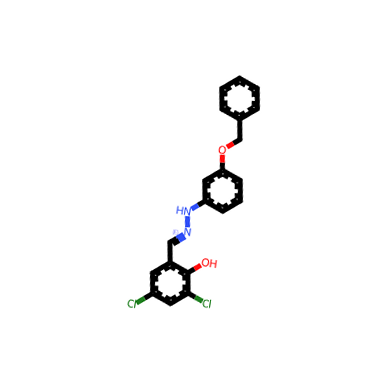 Oc1c(Cl)cc(Cl)cc1/C=N/Nc1cccc(OCc2ccccc2)c1